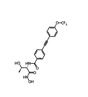 C[C@@H](O)[C@H](NC(=O)c1ccc(C#Cc2ccc(OC(F)(F)F)cc2)cc1)C(=O)NO